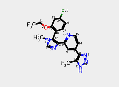 Cn1cnc(-c2cc(-c3nn[nH]c3C(F)(F)F)ccn2)c1C1=C(OCC(F)(F)F)CC(F)C=C1